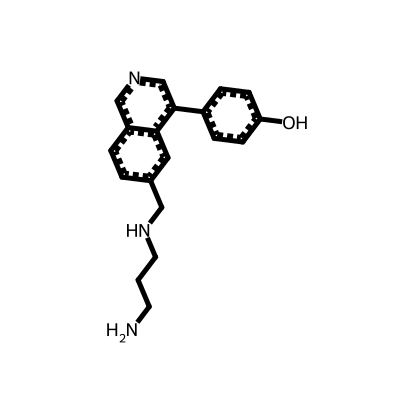 NCCCNCc1ccc2cncc(-c3ccc(O)cc3)c2c1